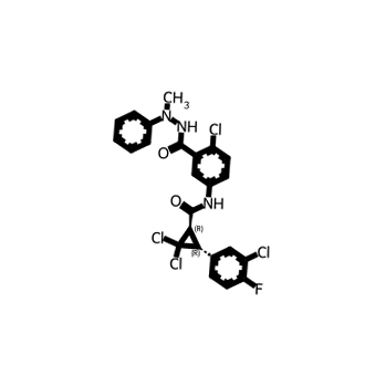 CN(NC(=O)c1cc(NC(=O)[C@H]2[C@H](c3ccc(F)c(Cl)c3)C2(Cl)Cl)ccc1Cl)c1ccccc1